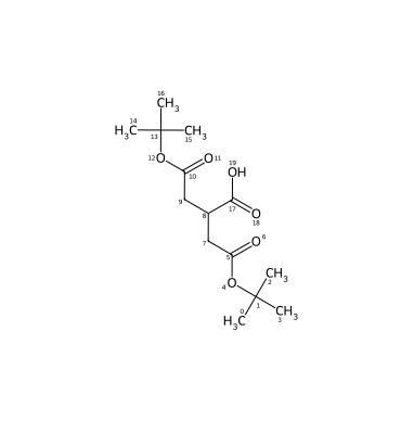 CC(C)(C)OC(=O)CC(CC(=O)OC(C)(C)C)C(=O)O